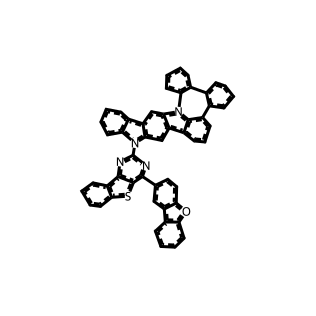 c1ccc2c(c1)-c1ccccc1-n1c3cc4c5ccccc5n(-c5nc(-c6ccc7oc8ccccc8c7c6)c6sc7ccccc7c6n5)c4cc3c3cccc-2c31